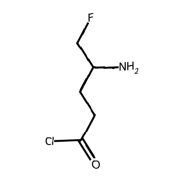 NC(CF)CCC(=O)Cl